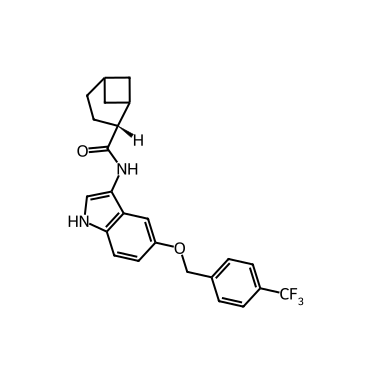 O=C(Nc1c[nH]c2ccc(OCc3ccc(C(F)(F)F)cc3)cc12)[C@@H]1CCC2CC1C2